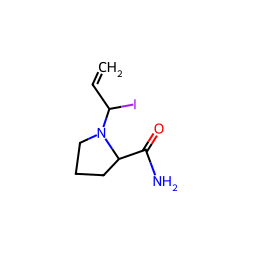 C=CC(I)N1CCCC1C(N)=O